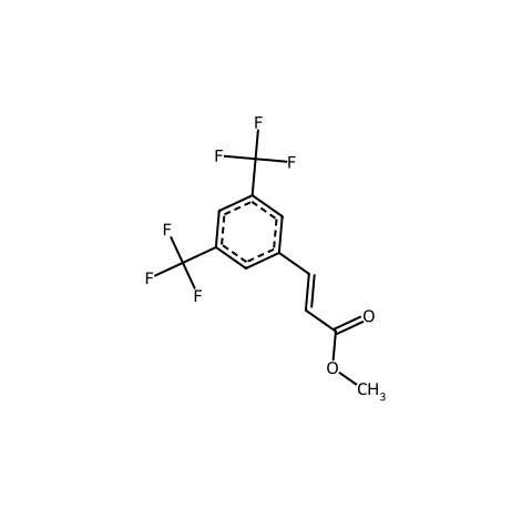 COC(=O)C=Cc1cc(C(F)(F)F)cc(C(F)(F)F)c1